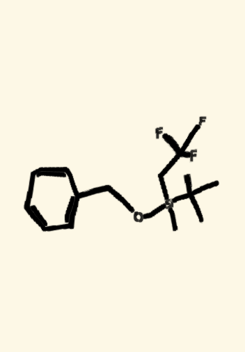 CC(C)(C)[Si](C)(CC(F)(F)F)OCc1ccccc1